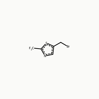 FC(F)(F)c1ncc(CBr)s1